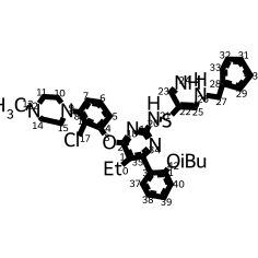 CCc1c(Oc2cccc(N3CCN(C)CC3)c2Cl)nc(NS/C(C=N)=C/NCc2ccccc2)nc1-c1ccccc1OCC(C)C